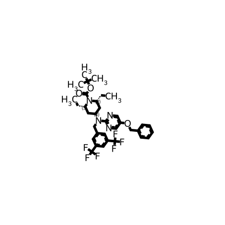 CC[C@@H]1C[C@H](N(Cc2cc(C(F)(F)F)cc(C(F)(F)F)c2)c2ncc(OCc3ccccc3)cn2)C[C@H](CC)N1C(=O)OC(C)(C)C